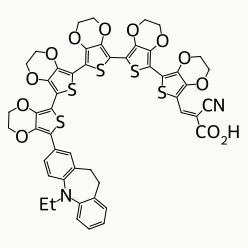 CCN1c2ccccc2CCc2cc(-c3sc(-c4sc(-c5sc(-c6sc(-c7sc(/C=C(\C#N)C(=O)O)c8c7OCCO8)c7c6OCCO7)c6c5OCCO6)c5c4OCCO5)c4c3OCCO4)ccc21